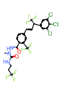 CN(NC(=O)c1ccc(/C=C/C(c2cc(Cl)c(Cl)c(Cl)c2)C(F)(F)F)cc1C(F)(F)F)C(=O)NCCC(F)(F)F